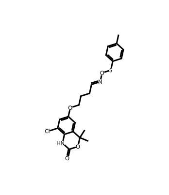 Cc1ccc(SON=CCCCOc2cc(Cl)c3c(c2)C(C)(C)OC(=O)N3)cc1